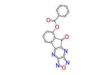 O=C(Oc1cccc2c1C(=O)c1nc3nonc3nc1-2)c1ccccc1